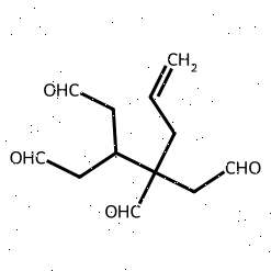 C=CCC(C=O)(CC=O)[C](CC=O)CC=O